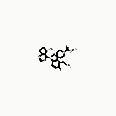 C[C@@H]1CCc2ncnc(N3CC4(CCN(C(=O)OC(C)(C)C)CC4)c4c3ccc(Cl)c4CN)c21